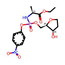 CCOC(=O)[C@H](C)NP(=O)(OC[C@H]1OCC[C@H]1O)Oc1ccc([N+](=O)[O-])cc1